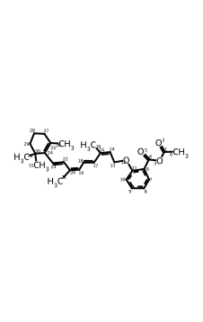 CC(=O)OC(=O)c1ccccc1OCC=C(C)C=CC=C(C)C=CC1=C(C)CCCC1(C)C